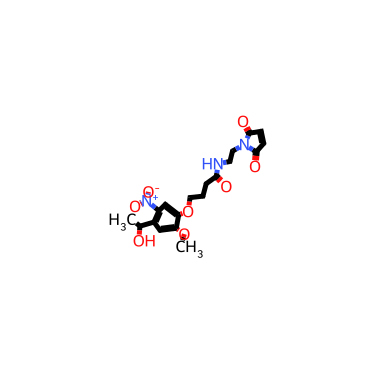 COc1cc(C(C)O)c([N+](=O)[O-])cc1OCCCC(=O)NCCN1C(=O)C=CC1=O